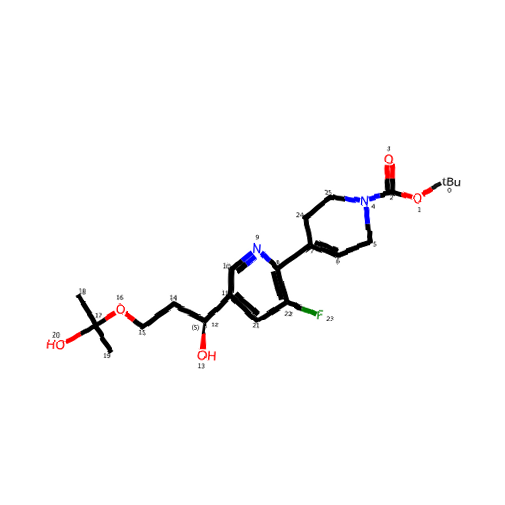 CC(C)(C)OC(=O)N1CC=C(c2ncc([C@@H](O)CCOC(C)(C)O)cc2F)CC1